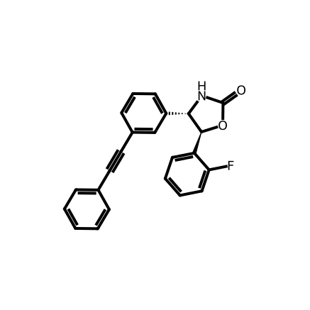 O=C1N[C@@H](c2cccc(C#Cc3ccccc3)c2)[C@H](c2ccccc2F)O1